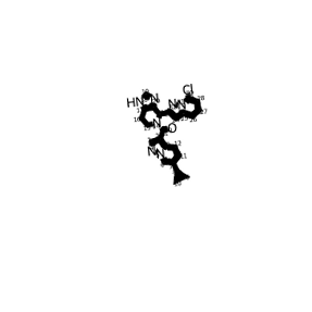 O=C(c1cnn2cc(C3CC3)ccc12)N1CCc2[nH]cnc2C1c1cc2cccc(Cl)n2n1